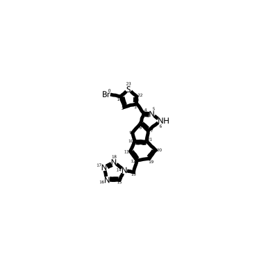 Brc1cc(-c2n[nH]c3c2Cc2cc(Cn4cnnn4)ccc2-3)cs1